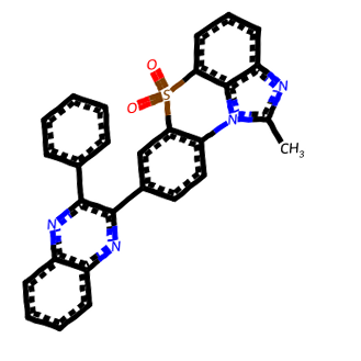 Cc1nc2cccc3c2n1-c1ccc(-c2nc4ccccc4nc2-c2ccccc2)cc1S3(=O)=O